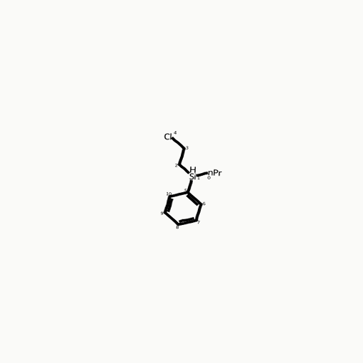 CCC[SiH](CCCl)c1ccccc1